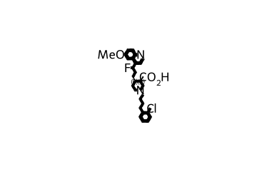 COc1ccc2nccc(C(F)CC[C@@H]3CCN(CCCCc4ccccc4Cl)C[C@@H]3C(=O)O)c2c1